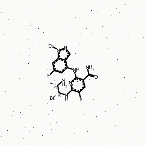 CC[C@@H](Nc1nc(Nc2cc(F)cc3c2cnn3CC)c(C(N)=O)cc1F)[C@H](C)N